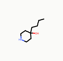 CCCCC1(O)CCNCC1